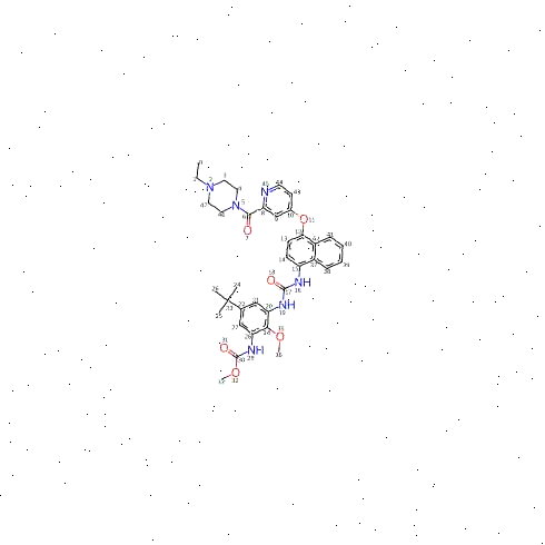 CCN1CCN(C(=O)c2cc(Oc3ccc(NC(=O)Nc4cc(C(C)(C)C)cc(NC(=O)OC)c4OC)c4ccccc34)ccn2)CC1